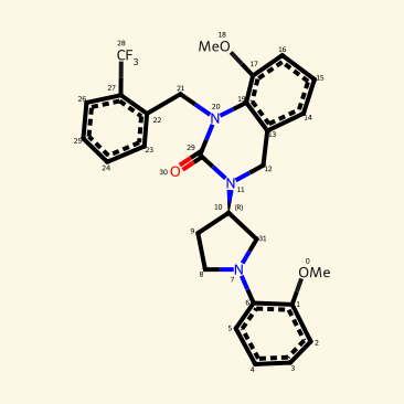 COc1ccccc1N1CC[C@@H](N2Cc3cccc(OC)c3N(Cc3ccccc3C(F)(F)F)C2=O)C1